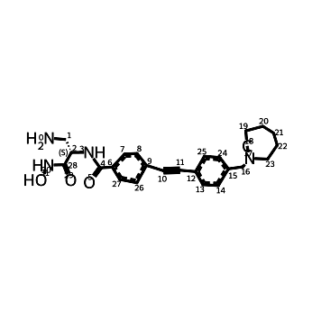 NC[C@H](NC(=O)c1ccc(C#Cc2ccc(CN3CCCCCC3)cc2)cc1)C(=O)NO